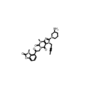 CC#CCn1c(N2CCCC(N)C2)nc2c1c(=O)n(CC(=O)c1cccc3oc(=O)n(C)c13)c(=O)n2C